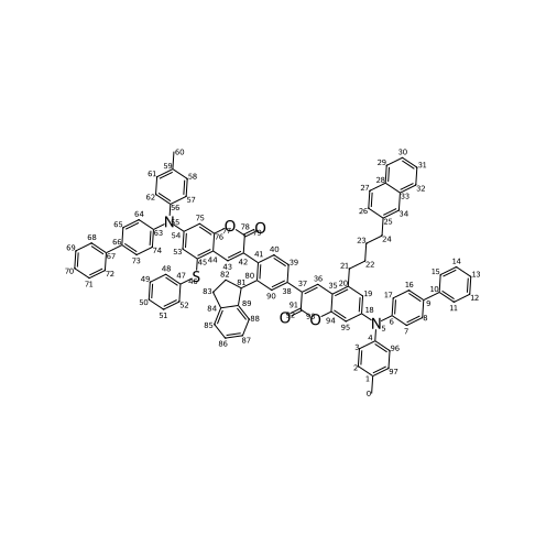 Cc1ccc(N(c2ccc(-c3ccccc3)cc2)c2cc(CCCCc3ccc4ccccc4c3)c3cc(-c4ccc(-c5cc6c(Sc7ccccc7)cc(N(c7ccc(C)cc7)c7ccc(-c8ccccc8)cc7)cc6oc5=O)c(C5CCc6ccccc65)c4)c(=O)oc3c2)cc1